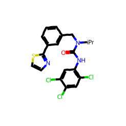 CC(C)N(Cc1cccc(-c2nccs2)c1)C(=O)Nc1cc(Cl)c(Cl)cc1Cl